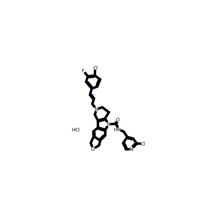 Cl.O=C(NCc1ccnc(Cl)c1)n1c2c(c3cc4c(cc31)COC4)CN(C/C=C/c1ccc(Cl)c(F)c1)CC2